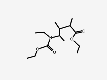 CCOC(=O)C(C)C(C)C(C)N(CC)C(=O)OCC